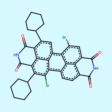 O=C1NC(=O)c2cc(Br)c3c4cc(C5CCCCC5)c5c6c(c(C7CCCCC7)c(Br)c(c7ccc1c2c73)c64)C(=O)NC5=O